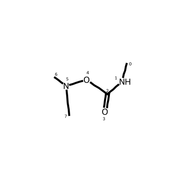 CNC(=O)ON(C)C